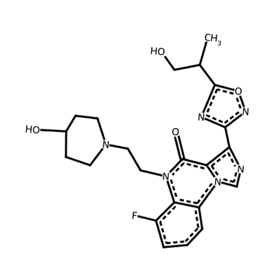 CC(CO)c1nc(-c2ncn3c2c(=O)n(CCN2CCC(O)CC2)c2c(F)cccc23)no1